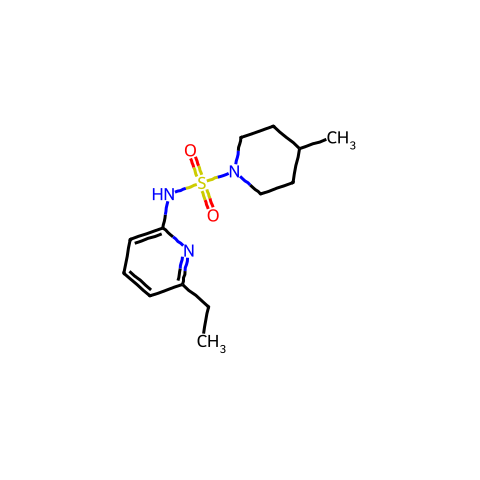 CCc1cccc(NS(=O)(=O)N2CCC(C)CC2)n1